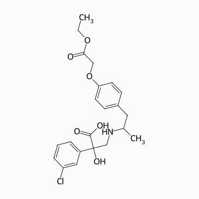 CCOC(=O)COc1ccc(CC(C)NCC(O)(C(=O)O)c2cccc(Cl)c2)cc1